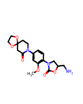 COc1cc(N2CCC3(CC2=O)OCCO3)ccc1N1CC(CN)OC1=O